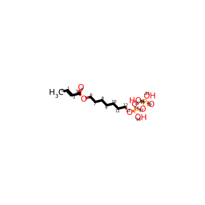 CC=CC(=O)OCCCCCCCOP(=O)(O)OP(=O)(O)O